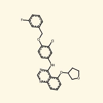 Fc1cccc(COc2ccc(Nc3ncnc4cccc(OC5CCOC5)c34)cc2Cl)c1